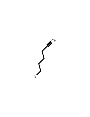 C#CCCCC[S]